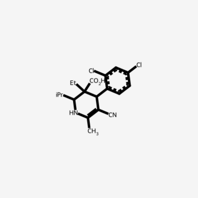 CCC1(C(=O)O)C(c2ccc(Cl)cc2Cl)C(C#N)=C(C)NC1C(C)C